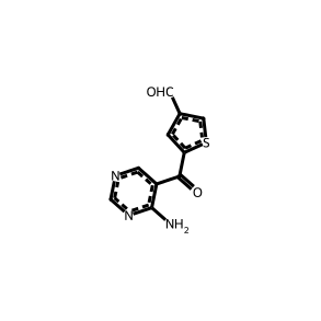 Nc1ncncc1C(=O)c1cc(C=O)cs1